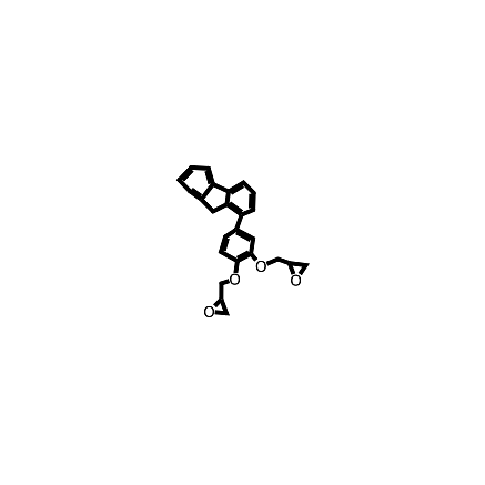 c1ccc2c(c1)Cc1c(-c3ccc(OCC4CO4)c(OCC4CO4)c3)cccc1-2